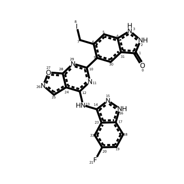 O=c1[nH][nH]c2cc(CI)c(-c3nc(Nc4n[nH]c5ccc(F)cc45)c4cnoc4n3)cc12